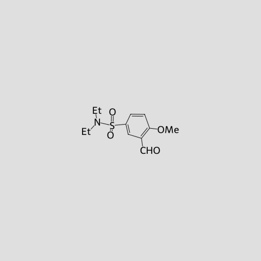 CCN(CC)S(=O)(=O)c1ccc(OC)c(C=O)c1